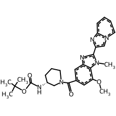 COc1cc(C(=O)N2CCC[C@@H](NC(=O)OC(C)(C)C)C2)cc2nc(-c3cn4ccccc4n3)n(C)c12